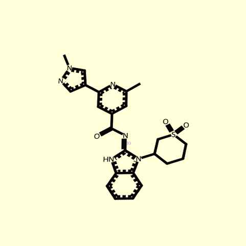 Cc1cc(C(=O)/N=c2\[nH]c3ccccc3n2C2CCCS(=O)(=O)C2)cc(-c2cnn(C)c2)n1